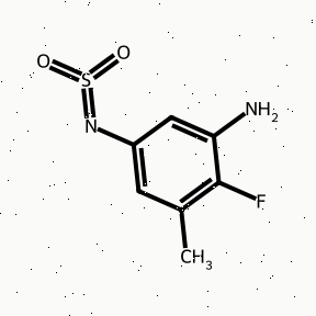 Cc1cc(N=S(=O)=O)cc(N)c1F